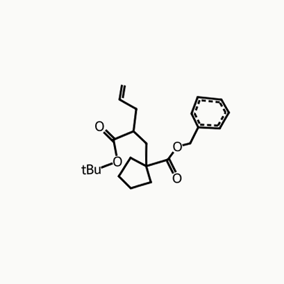 C=CCC(CC1(C(=O)OCc2ccccc2)CCCC1)C(=O)OC(C)(C)C